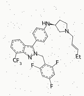 CCC=CCN1CC[C@H](Nc2ccc(-c3c4cccc(C(F)(F)F)c4nn3Cc3c(F)cc(F)cc3F)cc2)C1